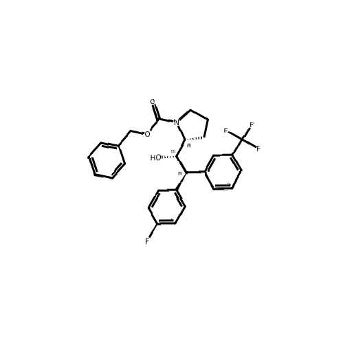 O=C(OCc1ccccc1)N1CCC[C@@H]1[C@@H](O)[C@H](c1ccc(F)cc1)c1cccc(C(F)(F)F)c1